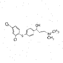 CN(C)CCC(O)c1ccc(Sc2ccc(Cl)cc2Cl)cc1